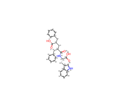 O=C(O)C(Cc1ccccc1)CC(Cc1ccccc1)C(=O)N[C@@H](Cc1c[nH]c2ccccc12)C(=O)O